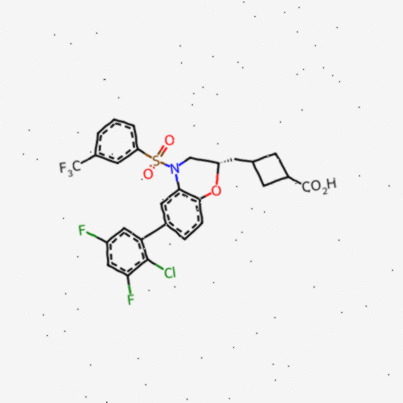 O=C(O)C1CC(C[C@H]2CN(S(=O)(=O)c3cccc(C(F)(F)F)c3)c3cc(-c4cc(F)cc(F)c4Cl)ccc3O2)C1